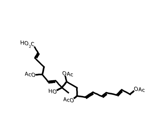 CC(=O)OCC=CC=CC=CC(CC(OC(C)=O)C(C)(O)C=CC(CC=CC(=O)O)OC(C)=O)OC(C)=O